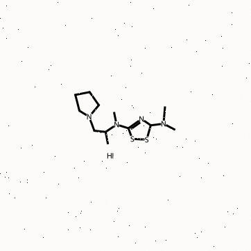 CC(CN1CCCC1)N(C)C1=NC(N(C)C)SS1.I